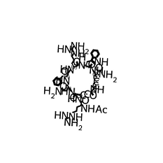 CC(=O)NC(CCCNC(=N)N)C(=O)N[C@H]1CCC(=O)NCCC[C@@H](C(N)=O)NC(=O)[C@H](Cc2c[nH]c3ccccc23)NC(=O)[C@H](CCCNC(=N)N)NC(=O)[C@@H](Cc2ccccc2)NC(=O)[C@H](CCN)NC1=O